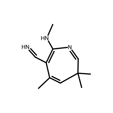 CNC1=C(C=N)C(C)=CC(C)(C)C=N1